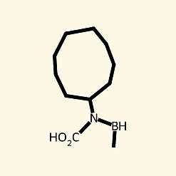 CBN(C(=O)O)C1CCCCCCCC1